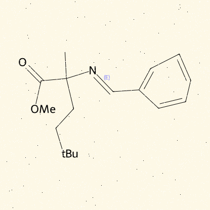 COC(=O)C(C)(CCC(C)(C)C)/N=C/c1ccccc1